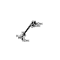 CCCCCCCCCCCC(=O)NC(C)CNC(=O)CCCCCCCCCCCN(CC(C)NC(=O)CCCCCCCCCCC)C(=O)CCCCCCCCCCC